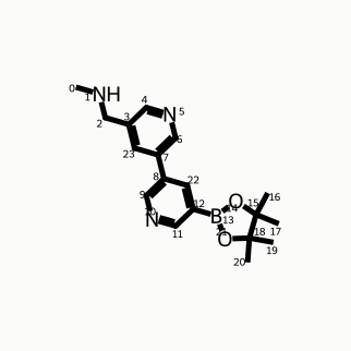 CNCc1cncc(-c2cncc(B3OC(C)(C)C(C)(C)O3)c2)c1